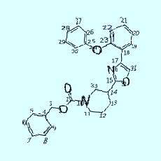 O=C(OCc1ccccc1)N1CCCC(c2nc(-c3ccccc3Oc3ccccc3)co2)C1